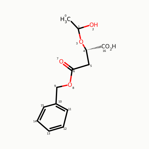 CC(O)O[C@@H](CC(=O)OCc1ccccc1)C(=O)O